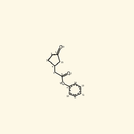 O=C1CCC(CC(=O)Oc2ccccc2)C1